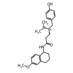 COc1ccc2c(c1)CCCC2NC(=O)CC[C@H](Cc1ccc(O)cc1)N(C)C